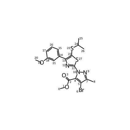 COC(=O)c1c(Br)c(C)nn1-c1nc(-c2cccc(OC)c2)c(SC(C)C)s1